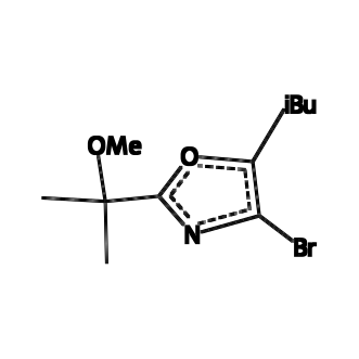 CCC(C)c1oc(C(C)(C)OC)nc1Br